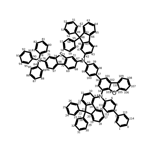 c1ccc(-c2ccc(N(c3cccc4c3-c3ccccc3C4(c3ccccc3)c3ccccc3)c3cc(-c4ccc(N(c5ccc6c(c5)C(c5ccccc5)(c5ccccc5)c5ccccc5-6)c5ccc6c(c5)sc5cc([Si](c7ccccc7)(c7ccccc7)c7ccccc7)ccc56)cc4)cc4c3oc3ccccc34)cc2)cc1